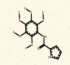 O=C(Nc1c(SF)c(SF)c(SF)c(SF)c1SF)c1ccc[nH]1